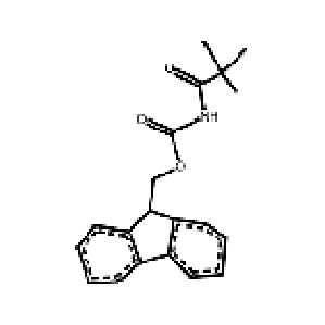 CC(C)(C)C(=O)NC(=O)OCC1c2ccccc2-c2ccccc21